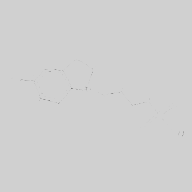 CS(=O)(=O)CC[CH]CN1CCc2cc(F)ccc21